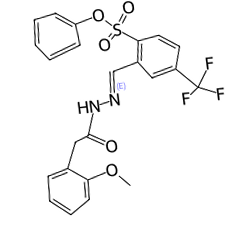 COc1ccccc1CC(=O)N/N=C/c1cc(C(F)(F)F)ccc1S(=O)(=O)Oc1ccccc1